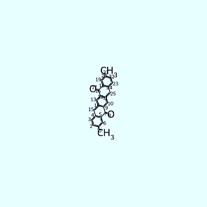 Cc1ccc2c(c1)C(=O)c1cc3c(cc1=C2)C(=O)c1cc(C)ccc1C=3